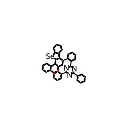 c1ccc(-c2nc(-c3ccccc3)nc(-c3ccccc3-c3cc4ccc5ccccc5c4c4[se]c5ccccc5c34)n2)cc1